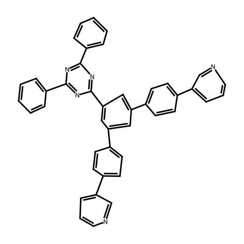 c1ccc(-c2nc(-c3ccccc3)nc(-c3cc(-c4ccc(-c5cccnc5)cc4)cc(-c4ccc(-c5cccnc5)cc4)c3)n2)cc1